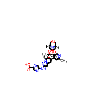 Cc1cc(-c2ccn3nc(Nc4cnc(C(=O)O)cn4)cc3c2)c(O[C@H]2C[C@H]3COC[C@@H](C2)N3C(=O)OC(C)(C)C)cn1